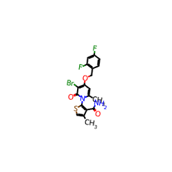 Cc1csc(-n2c(C)cc(OCc3ccc(F)cc3F)c(Br)c2=O)c1C(N)=O